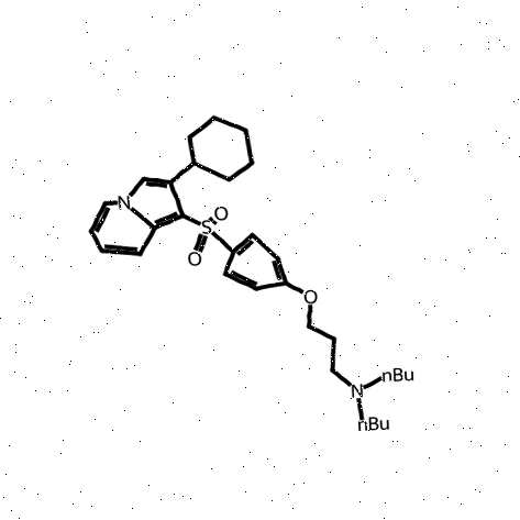 CCCCN(CCCC)CCCOc1ccc(S(=O)(=O)c2c(C3CCCCC3)cn3ccccc23)cc1